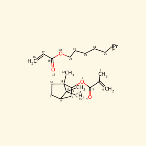 C=C(C)C(=O)OC1CC2CCC1(C)C2(C)C.C=CC(=O)OCCCCCC(C)C